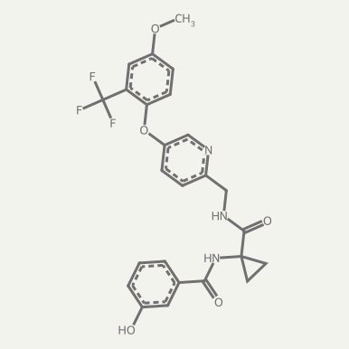 COc1ccc(Oc2ccc(CNC(=O)C3(NC(=O)c4cccc(O)c4)CC3)nc2)c(C(F)(F)F)c1